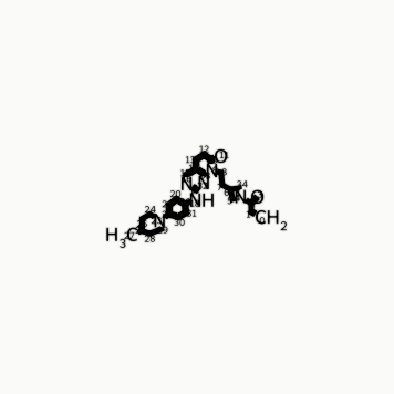 C=CC(=O)N1CC(CCn2c(=O)ccc3cnc(Nc4ccc(N5CCC(C)CC5)cc4)nc32)C1